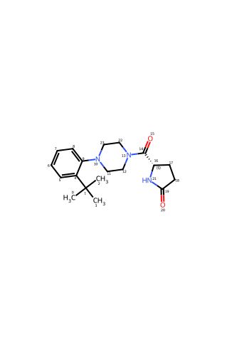 CC(C)(C)c1ccccc1N1CCN(C(=O)[C@@H]2CCC(=O)N2)CC1